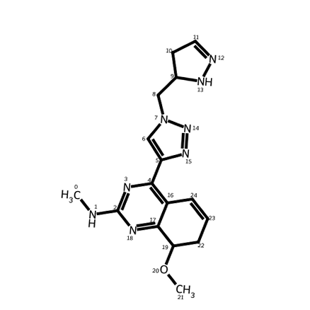 CNc1nc(-c2cn(CC3CC=NN3)nn2)c2c(n1)C(OC)CC=C2